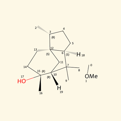 COC.C[C@@H]1CC[C@H]2C(C)(C)[C@H]3C[C@@]12CC[C@@]3(C)O